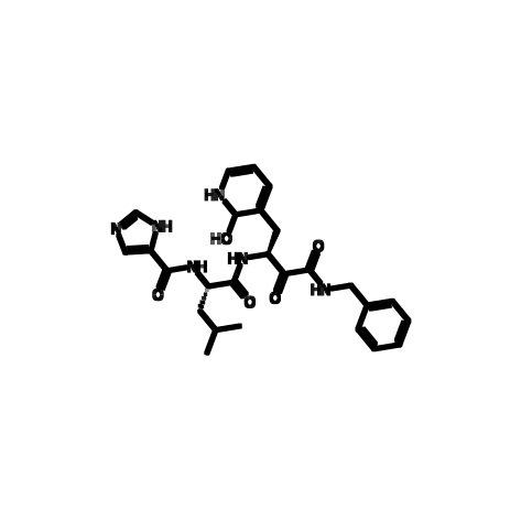 CC(C)C[C@H](NC(=O)c1cnc[nH]1)C(=O)N[C@@H](CC1=CC=CNC1O)C(=O)C(=O)NCc1ccccc1